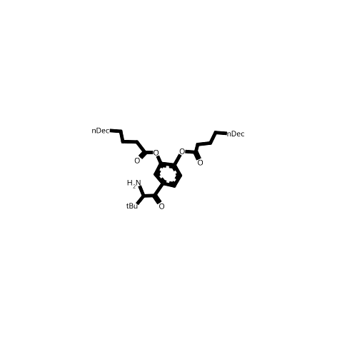 CCCCCCCCCCCCCC(=O)Oc1ccc(C(=O)C(N)C(C)(C)C)cc1OC(=O)CCCCCCCCCCCCC